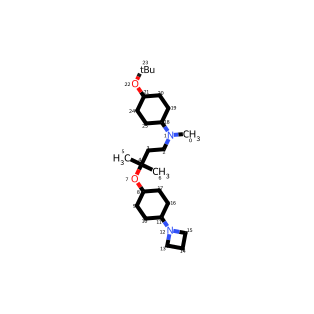 CN(CCC(C)(C)OC1CCC(N2CCC2)CC1)C1CCC(OC(C)(C)C)CC1